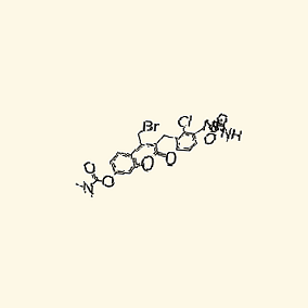 CNS(=O)(=O)Nc1cccc(Cc2c(CBr)c3ccc(OC(=O)N(C)C)cc3oc2=O)c1Cl